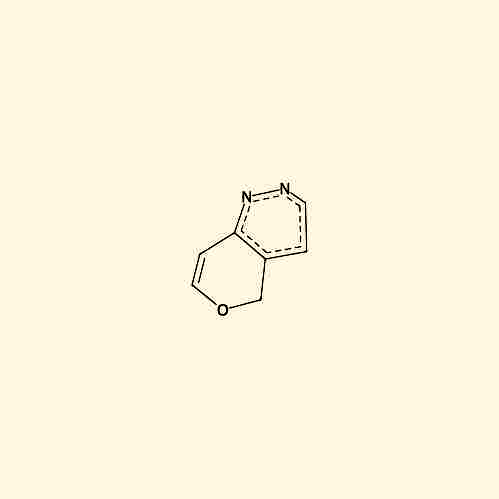 C1=Cc2nnccc2CO1